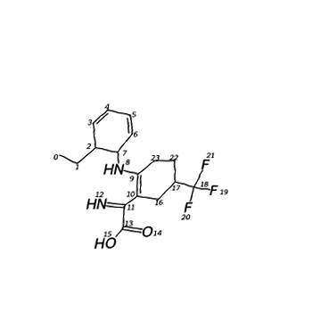 CCC1C=CC=CC1NC1=C(C(=N)C(=O)O)CC(C(F)(F)F)CC1